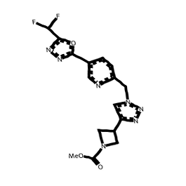 COC(=O)N1CC(c2cn(Cc3ccc(-c4nnc(C(F)F)o4)cn3)nn2)C1